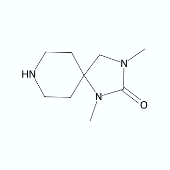 CN1CC2(CCNCC2)N(C)C1=O